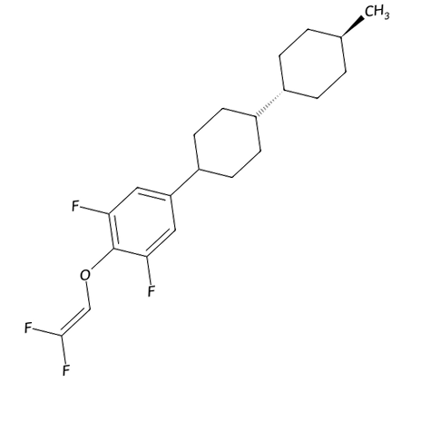 C[C@H]1CC[C@H](C2CCC(c3cc(F)c(OC=C(F)F)c(F)c3)CC2)CC1